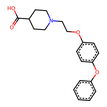 O=C(O)C1CCN(CCOc2ccc(Oc3ccccc3)cc2)CC1